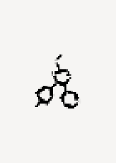 CSc1nnc(-c2cccnc2)c(-c2ccc(C)cc2)n1